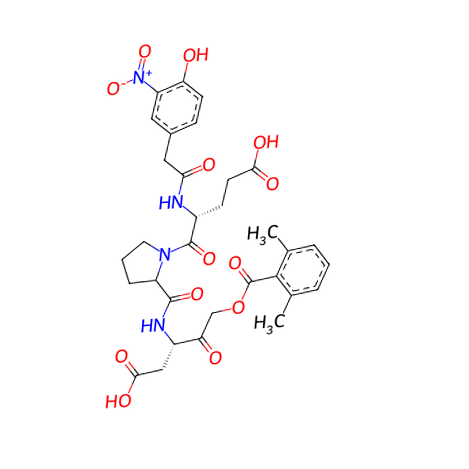 Cc1cccc(C)c1C(=O)OCC(=O)[C@H](CC(=O)O)NC(=O)C1CCCN1C(=O)[C@@H](CCC(=O)O)NC(=O)Cc1ccc(O)c([N+](=O)[O-])c1